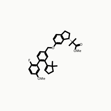 COC(=O)C(C)(C)[C@H]1CCc2ccc(OCc3ccc(-c4cc(OC)ccc4F)c(C4=CCCC4(C)C)c3)cc21